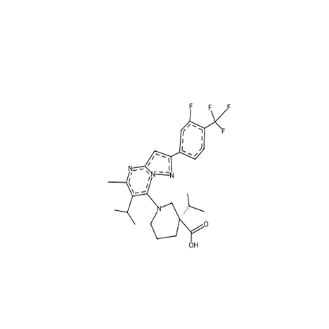 Cc1nc2cc(-c3ccc(C(F)(F)F)c(F)c3)nn2c(N2CCC[C@@](C(=O)O)(C(C)C)C2)c1C(C)C